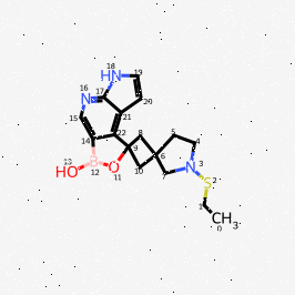 CCSN1CCC2(C1)CC1(C2)OB(O)c2cnc3[nH]ccc3c21